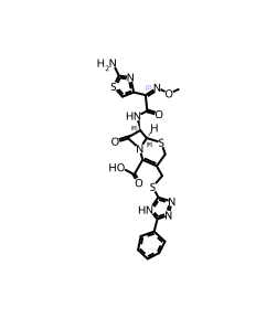 CO/N=C(\C(=O)N[C@@H]1C(=O)N2C(C(=O)O)=C(CSc3nnc(-c4ccccc4)[nH]3)CS[C@H]12)c1csc(N)n1